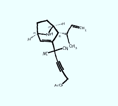 C=CC(C)[C@@H]1C(C(C#N)(C#N)C#CCOC(C)=O)=C[C@H]2CC[C@@H]1N2